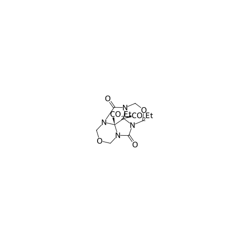 CCOC(=O)[C@]12N3COCN1C(=O)N1COCN(C3=O)[C@]12C(=O)OCC